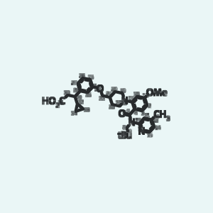 COc1ccc(C(=O)N(CC(C)(C)C)c2cc(C)ccn2)c(N2CCC(COc3cccc(C(CC(=O)O)C4CC4)c3)CC2)c1